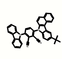 CC(C)(C)c1ccc2c(c1)c1c3ccccc3ccc1n2-c1ccc(-n2c3ccccc3c3ccccc32)c(C#N)c1C#N